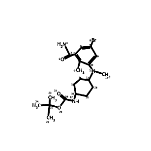 Cc1c(C(N)=O)cc(Br)cc1N(C)C1CCC(NC(=O)OC(C)(C)C)CC1